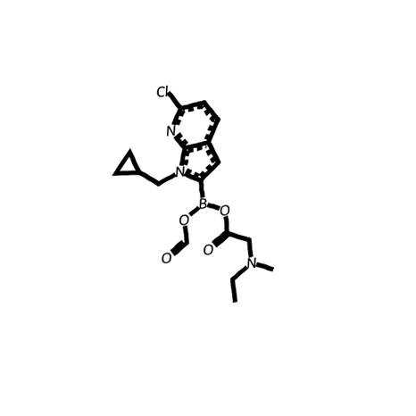 CCN(C)CC(=O)OB(OC=O)c1cc2ccc(Cl)nc2n1CC1CC1